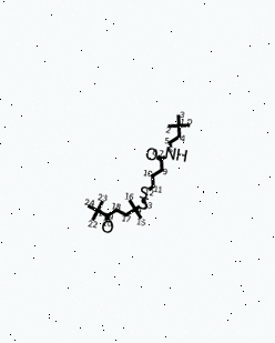 CC(C)(C)CCNC(=O)CCCSSC(C)(C)CCC(=O)C(C)(C)C